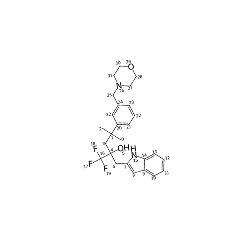 CC(C)(CC(O)(Cc1cc2ccccc2[nH]1)C(F)(F)F)c1cccc(CN2CCOCC2)c1